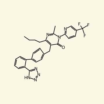 CCCCc1nc(C)n(-c2ccc(C(F)(F)F)cn2)c(=O)c1Cc1ccc(-c2ccccc2-c2nnn[nH]2)cc1